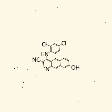 N#Cc1cnc2cc3cc(O)ccc3cc2c1Nc1ccc(Cl)cc1Cl